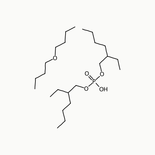 CCCCC(CC)COP(=O)(O)OCC(CC)CCCC.CCCCOCCCC